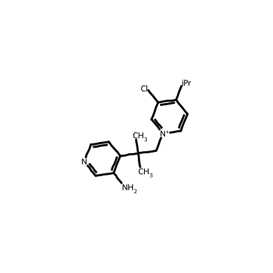 CC(C)c1cc[n+](CC(C)(C)c2ccncc2N)cc1Cl